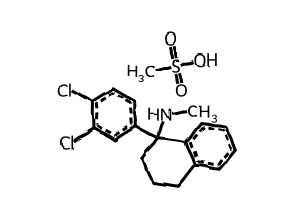 CNC1(c2ccc(Cl)c(Cl)c2)CCCc2ccccc21.CS(=O)(=O)O